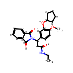 CCNC(=O)CC(c1ccc(OC)c(OC2CCCC2)c1)N1C(=O)c2ccccc2C1=O